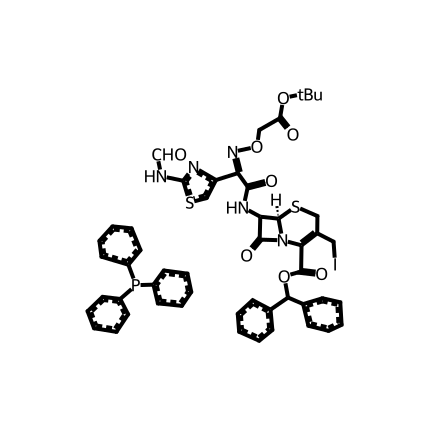 CC(C)(C)OC(=O)CO/N=C(\C(=O)NC1C(=O)N2C(C(=O)OC(c3ccccc3)c3ccccc3)=C(CI)CS[C@H]12)c1csc(NC=O)n1.c1ccc(P(c2ccccc2)c2ccccc2)cc1